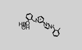 Cc1ccccc1C[n+]1ccn(-c2ccc[n+](Cc3ccccc3OBO)c2)c1